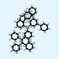 c1ccc(-c2cc(-c3ccccc3)cc(N(c3ccc4c(c3)c(-c3ccccc3)c(-c3ccccc3)c3ccccc34)c3cccc4sc5ccccc5c34)c2)cc1